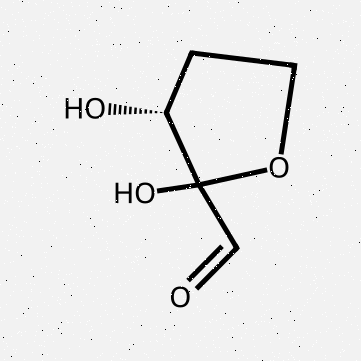 O=CC1(O)OCC[C@H]1O